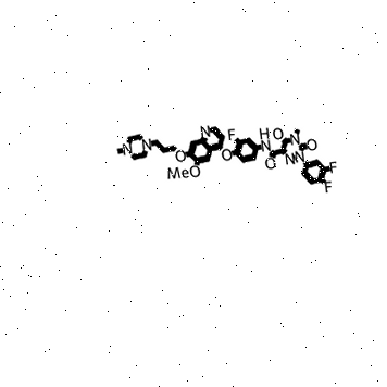 COc1cc2c(Oc3ccc(NC(=O)c4nn(-c5ccc(F)c(F)c5)c(=O)n(C)c4=O)cc3F)ccnc2cc1OCCCN1CCN(C)CC1